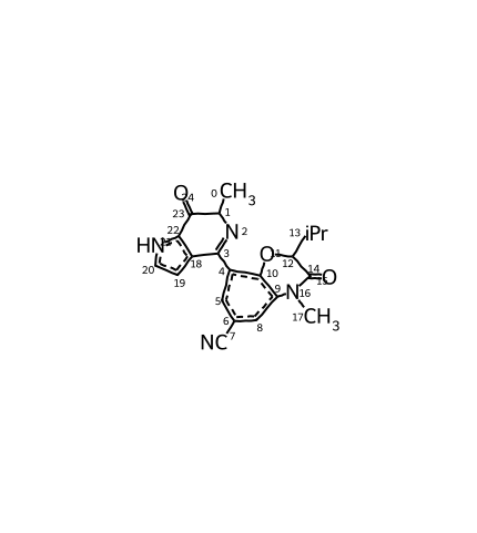 CC1N=C(c2cc(C#N)cc3c2OC(C(C)C)C(=O)N3C)c2cc[nH]c2C1=O